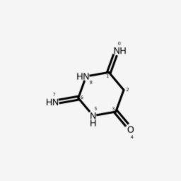 N=C1CC(=O)NC(=N)N1